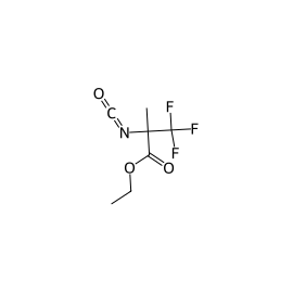 CCOC(=O)C(C)(N=C=O)C(F)(F)F